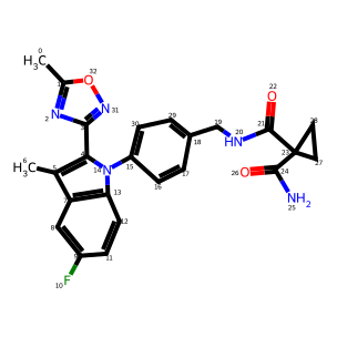 Cc1nc(-c2c(C)c3cc(F)ccc3n2-c2ccc(CNC(=O)C3(C(N)=O)CC3)cc2)no1